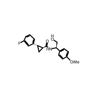 COc1ccc([C@H](CO)NC(=O)[C@H]2C[C@@H]2c2cccc(F)c2)cc1